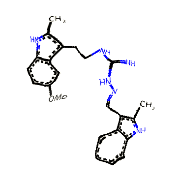 COc1ccc2[nH]c(C)c(CCNC(=N)NN=Cc3c(C)[nH]c4ccccc34)c2c1